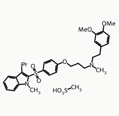 COc1ccc(CCN(C)CCCOc2ccc(S(=O)(=O)c3c(C(C)C)c4ccccc4n3C)cc2)cc1OC.CS(=O)(=O)O